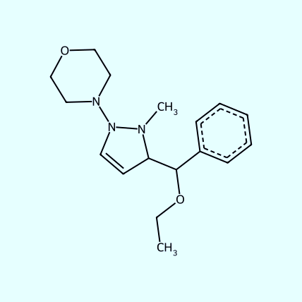 CCOC(c1ccccc1)C1C=CN(N2CCOCC2)N1C